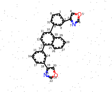 c1cc(-c2cocn2)cc(-c2ccc(-c3cccc(-c4cocn4)c3)c3ccccc23)c1